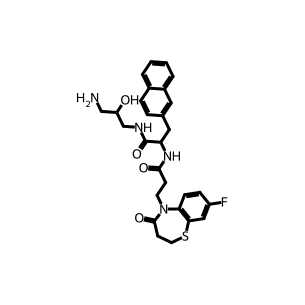 NCC(O)CNC(=O)C(Cc1ccc2ccccc2c1)NC(=O)CCN1C(=O)CCSc2cc(F)ccc21